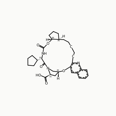 O=C1N[C@@H](C2CCCC2)C(=O)N2C[C@@H](C[C@H]2C(=O)O)Oc2cc3ccccc3nc2CCCCC[C@@H]2CCC[C@H]2O1